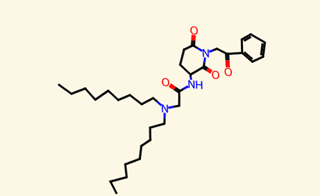 CCCCCCCCCN(CCCCCCCCC)CC(=O)NC1CCC(=O)N(CC(=O)c2ccccc2)C1=O